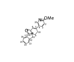 COc1ccc(C2=CC[C@@]3(CC2)Cc2ccccc2C3=O)cn1